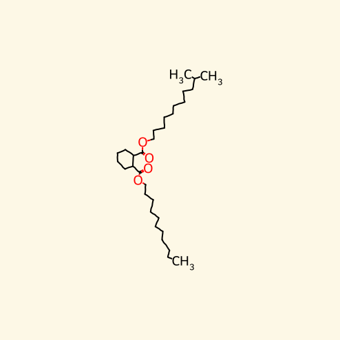 CCCCCCCCCCCOC(=O)C1CCCCC1C(=O)OCCCCCCCCCC(C)C